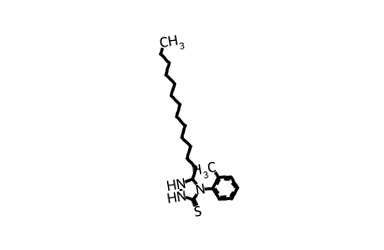 CCCCCCCCCCCCCC1NNC(=S)N1c1ccccc1C